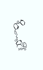 Cc1cc(OCCCOc2ccc(Oc3ccccc3)cc2)ccc1CC1(C(=O)O)OCCCO1